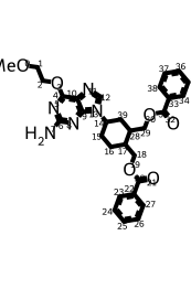 COCCOc1nc(N)nc2c1ncn2C1CCC(COC(=O)c2ccccc2)C(COC(=O)c2ccccc2)C1